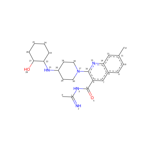 CC(=N)NC(=O)c1cc2ccc(C)cc2nc1N1CCC(NC2CCCCC2O)CC1